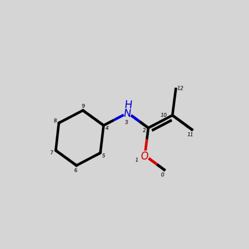 COC(NC1CCCCC1)=C(C)C